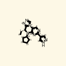 CC[C@@H]1c2nncn2-c2cnc(-c3cn[nH]c3)nc2N1C1CCCC1